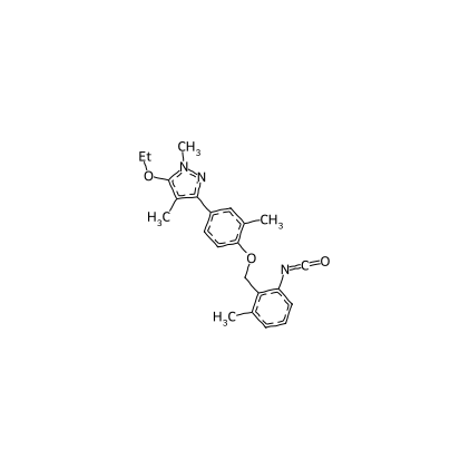 CCOc1c(C)c(-c2ccc(OCc3c(C)cccc3N=C=O)c(C)c2)nn1C